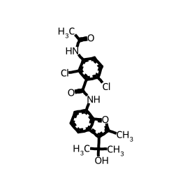 CC(=O)Nc1ccc(Cl)c(C(=O)Nc2cccc3c(C(C)(C)O)c(C)oc23)c1Cl